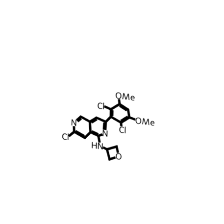 COc1cc(OC)c(Cl)c(-c2cc3cnc(Cl)cc3c(NC3COC3)n2)c1Cl